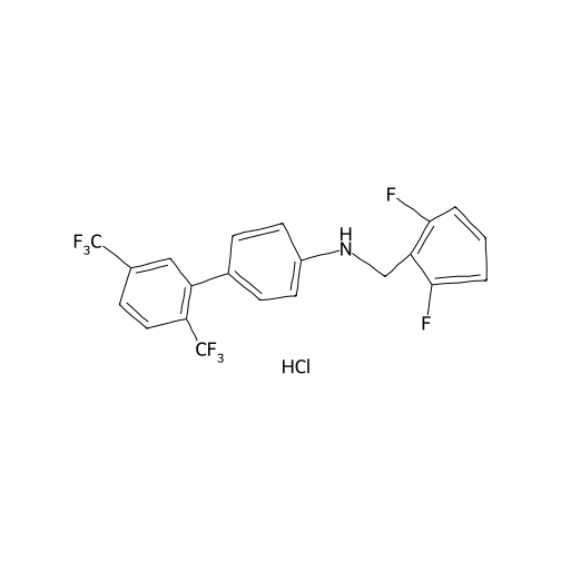 Cl.Fc1cccc(F)c1CNc1ccc(-c2cc(C(F)(F)F)ccc2C(F)(F)F)cc1